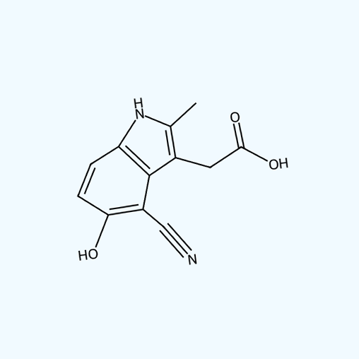 Cc1[nH]c2ccc(O)c(C#N)c2c1CC(=O)O